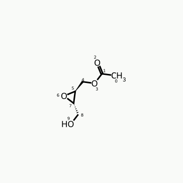 CC(=O)OC[C@@H]1O[C@H]1CO